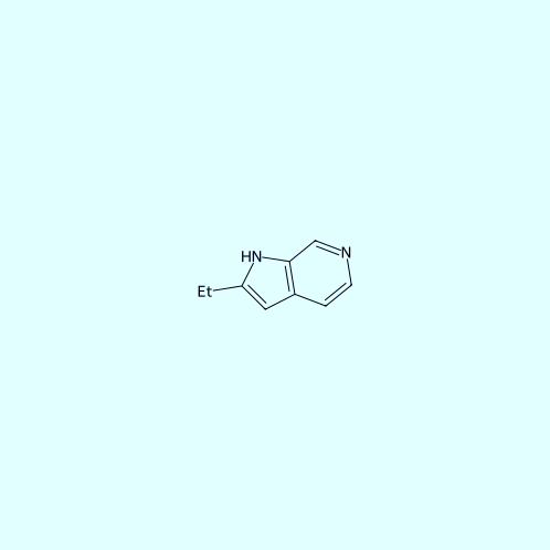 [CH2]Cc1cc2ccncc2[nH]1